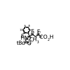 CC(C)(C)[S@@+]([O-])N[C@](C)(c1ccccc1F)[C@@H](F)C[C@@H](F)C(=O)O